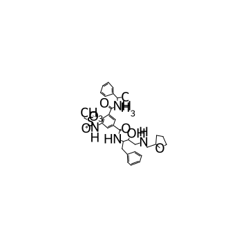 CCS(=O)(=O)Nc1cc(C(=O)NC(C)c2ccccc2)cc(C(=O)NC(Cc2ccccc2)C(O)CNCC2CCCO2)c1